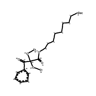 CCCCCCCCCCCCCCCCCCOC(=O)C(OCC)(OCC)C(=O)c1ccccc1